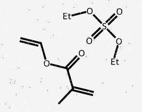 C=COC(=O)C(=C)C.CCOS(=O)(=O)OCC